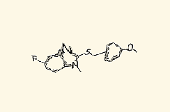 COc1ccc(CSc2nc3cc(F)ccc3n2C)cc1